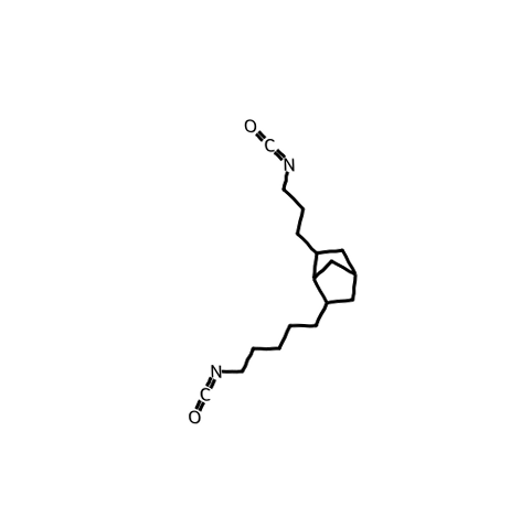 O=C=NCCCCCC1CC2CC(CCCN=C=O)C1C2